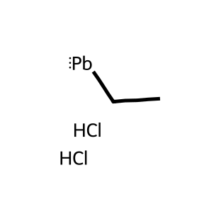 C[CH2][Pb].Cl.Cl